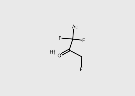 CC(=O)C(F)(F)C(=O)CF.[Hf]